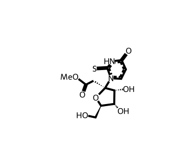 COC(=O)C[C@@]1(n2ccc(=O)[nH]c2=S)O[C@H](CO)[C@@H](O)[C@H]1O